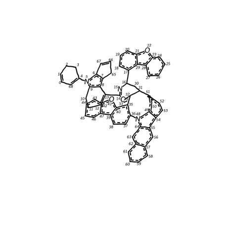 C1=CCCC(n2c3c(c4c2CCC=C4/C2=N/C(c4cccc5oc6ccccc6c45)CC4/C(=C/C2)c2c(ccc5c2oc2ccccc25)-n2c5cc4ccc5c4cc5ccccc5cc42)CC=C3)=C1